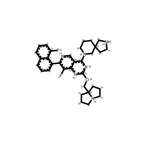 Fc1c(-c2cccc3cccc(F)c23)ncc2c(N3CCCC4(CCNC4)C3)nc(OCC34CCCN3CCC4)nc12